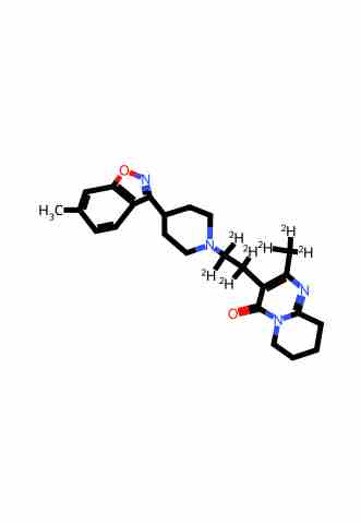 [2H]C([2H])([2H])c1nc2n(c(=O)c1C([2H])([2H])C([2H])([2H])N1CCC(c3noc4cc(C)ccc34)CC1)CCCC2